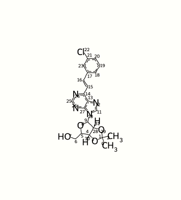 CC1(C)O[C@@H]2C(CO)OC(n3cnc4c(C=Cc5cccc(Cl)c5)ncnc43)[C@@H]2O1